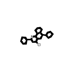 Clc1cc(-c2ccccc2)nc2c1cc(-c1ccccc1)c1ccccc12